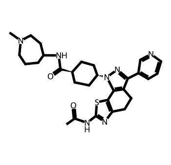 CC(=O)Nc1nc2c(s1)-c1c(c(-c3cccnc3)nn1[C@H]1CC[C@H](C(=O)NC3CCCN(C)CC3)CC1)CC2